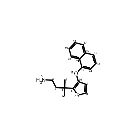 CC(C)(CCN)c1sccc1Oc1cccc2ccccc12